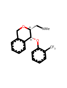 CNC[C@H]1OCc2ccccc2[C@H]1Oc1ccccc1C(F)(F)F